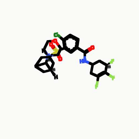 O=C(NC1CC(F)=C(F)[C@@H](F)C1)c1ccc(Cl)c(S(=O)(=O)[C@@H]2CC3C[C@@H](C2)C3N2CCOCC2)c1